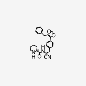 N#C[C@H](Cc1ccc(C2=C(Cc3ccccc3)OCO2)cc1)NC(=O)[C@@H]1CCCCN1